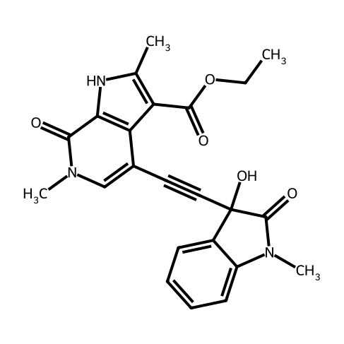 CCOC(=O)c1c(C)[nH]c2c(=O)n(C)cc(C#CC3(O)C(=O)N(C)c4ccccc43)c12